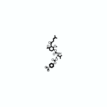 COC1C(OC(=O)N[C@@H](COC(=O)Oc2ccc([N+](=O)[O-])cc2)C(C)C)CCC2(CO2)C1C1OC1CC=C(C)C